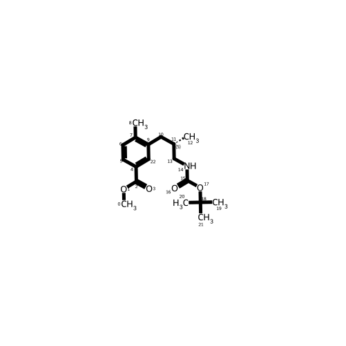 COC(=O)c1ccc(C)c(C[C@H](C)CNC(=O)OC(C)(C)C)c1